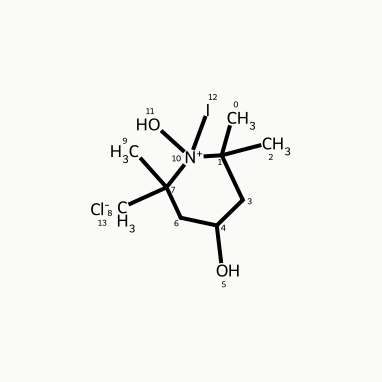 CC1(C)CC(O)CC(C)(C)[N+]1(O)I.[Cl-]